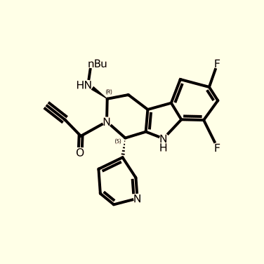 C#CC(=O)N1[C@@H](c2cccnc2)c2[nH]c3c(F)cc(F)cc3c2C[C@@H]1NCCCC